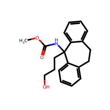 COC(=O)NC1(CCCO)c2ccccc2CCc2ccccc21